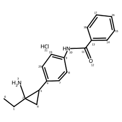 CCC1(N)CC1c1ccc(NC(=O)c2ccccc2)cc1.Cl